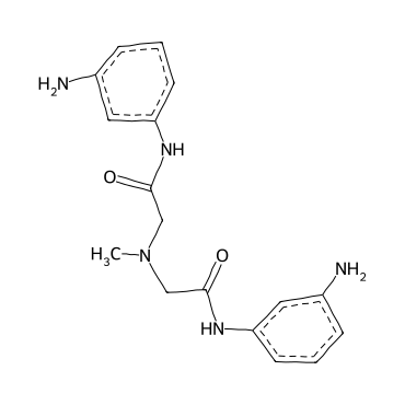 CN(CC(=O)Nc1cccc(N)c1)CC(=O)Nc1cccc(N)c1